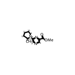 COC(=O)c1cncc(N2CCCC[C@H]2C)n1